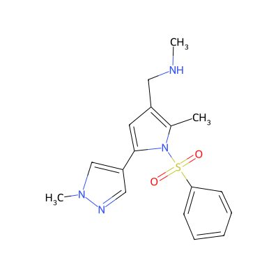 CNCc1cc(-c2cnn(C)c2)n(S(=O)(=O)c2ccccc2)c1C